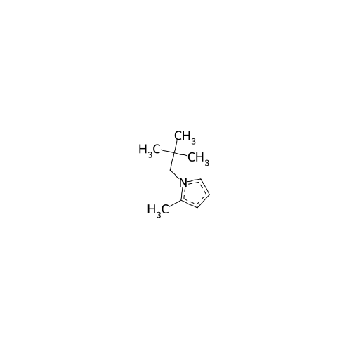 Cc1cccn1CC(C)(C)C